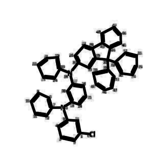 Clc1cccc(N(c2ccccc2)c2cccc(N(c3ccccc3)c3ccc4c(c3)C(c3ccccc3)(c3ccccc3)c3ccccc3-4)c2)c1